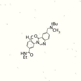 CCNC(=O)c1ccc(C)c(-n2cnc3ccc(CN(C)C(C)(C)C)cc3c2=O)c1